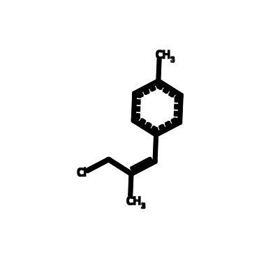 CC(=Cc1ccc(C)cc1)CCl